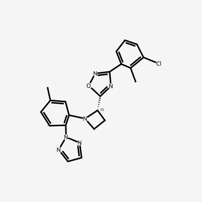 Cc1c[c]c(-n2nccn2)c(N2CC[C@H]2c2nc(-c3cccc(Cl)c3C)no2)c1